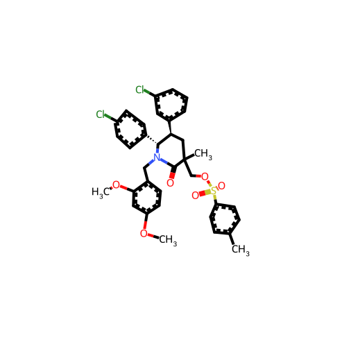 COc1ccc(CN2C(=O)C(C)(COS(=O)(=O)c3ccc(C)cc3)C[C@H](c3cccc(Cl)c3)[C@H]2c2ccc(Cl)cc2)c(OC)c1